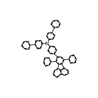 c1ccc(-c2ccc(N(c3ccc(-c4ccccc4)cc3)c3ccc(-c4cc(-c5ccccc5)c5c(c4-c4ccccc4)-c4cccc6cccc-5c46)cc3)cc2)cc1